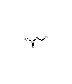 CCC[O][Sn]([CH3])=[O]